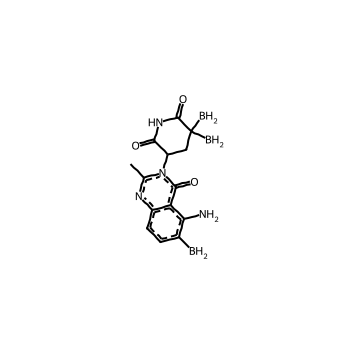 Bc1ccc2nc(C)n(C3CC(B)(B)C(=O)NC3=O)c(=O)c2c1N